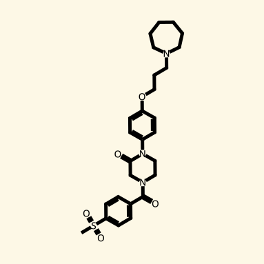 CS(=O)(=O)c1ccc(C(=O)N2CCN(c3ccc(OCCCN4CCCCCC4)cc3)C(=O)C2)cc1